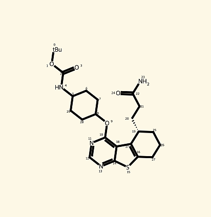 CC(C)(C)OC(=O)NC1CCC(Oc2ncnc3sc4c(c23)[C@H](CCC(N)=O)CCC4)CC1